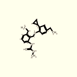 CCc1ccc(OCc2c(CC)cccc2OC(=O)OC)c(C2CC2)c1